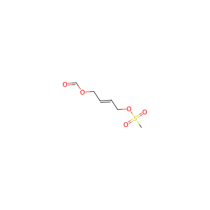 CS(=O)(=O)OCC=CCOC=O